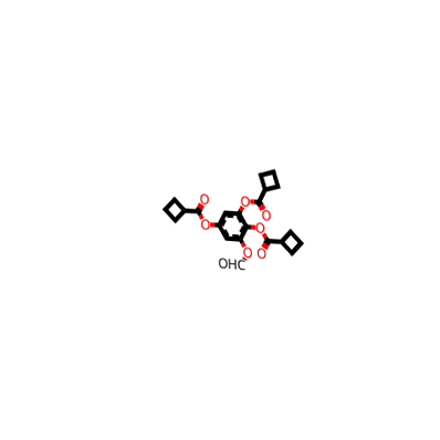 O=COc1cc(OC(=O)C2CCC2)cc(OC(=O)C2CCC2)c1OC(=O)C1CCC1